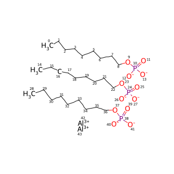 CCCCCCCCCOP(=O)([O-])[O-].CCCCCCCCCOP(=O)([O-])[O-].CCCCCCCCCOP(=O)([O-])[O-].[Al+3].[Al+3]